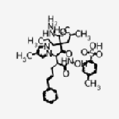 CCCC(CC(C)C)(C(=O)NN)C(=O)[C@@H]([C@H](C/C=C/c1ccccc1)C(=O)NO)n1cc(C)cn1.Cc1ccc(S(=O)(=O)O)cc1